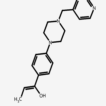 C/C=C(\O)c1ccc(N2CCN(Cc3ccncc3)CC2)cc1